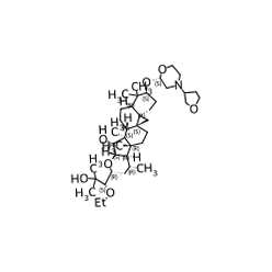 CCO[C@@H]([C@H]1C[C@@H](C)[C@H]2[C@H](O1)[C@H](O)[C@@]1(C)[C@@H]3CC[C@H]4C(C)(C)[C@@H](O[C@H]5CN(C6CCOC6)CCO5)CC[C@@]45C[C@@]35CC[C@]21C)C(C)(C)O